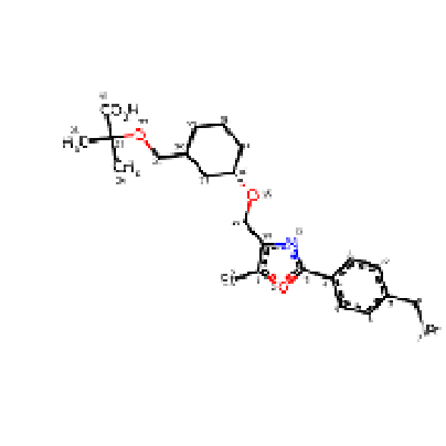 CCc1oc(-c2ccc(CC(C)C)cc2)nc1CO[C@H]1CCCC(COC(C)(C)C(=O)O)C1